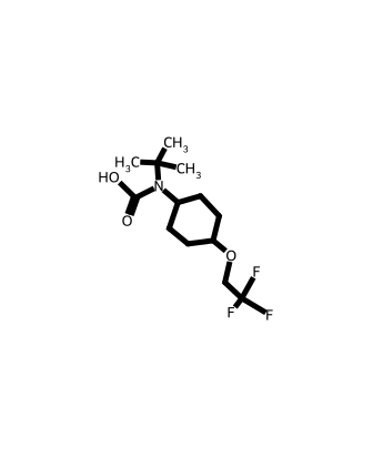 CC(C)(C)N(C(=O)O)C1CCC(OCC(F)(F)F)CC1